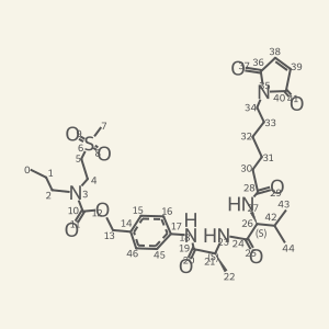 CCCN(CCS(C)(=O)=O)C(=O)OCc1ccc(NC(=O)[C@H](C)NC(=O)[C@@H](NC(=O)CCCCCN2C(=O)C=CC2=O)C(C)C)cc1